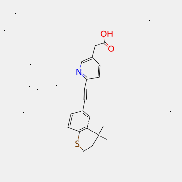 CC1(C)CCSc2ccc(C#Cc3ccc(CC(=O)O)cn3)cc21